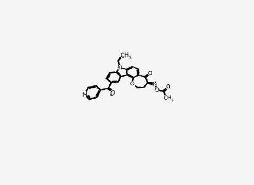 CCn1c2ccc(C(=O)c3ccncc3)cc2c2c3c(ccc21)C(=O)/C(=N/OC(C)=O)CCO3